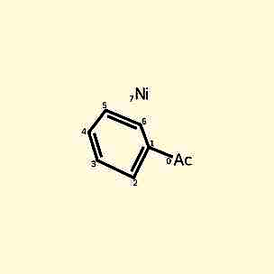 CC(=O)c1ccccc1.[Ni]